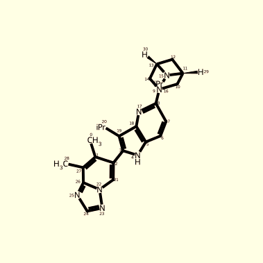 Cc1c(-c2[nH]c3ccc(N4C[C@H]5C[C@@H](C4)N5C(C)C)nc3c2C(C)C)cn2ncnc2c1C